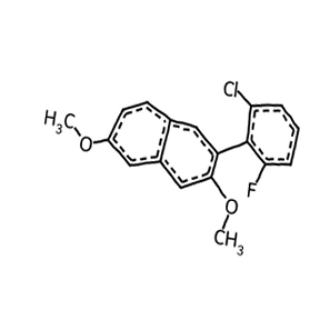 COc1ccc2cc(-c3c(F)cccc3Cl)c(OC)cc2c1